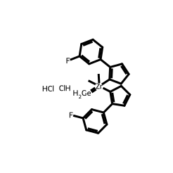 Cl.Cl.[CH3][Zr]([CH3])(=[GeH2])([C]1=C(c2cccc(F)c2)C=CC1)[C]1=C(c2cccc(F)c2)C=CC1